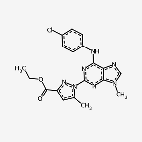 CCOC(=O)c1cc(C)n(-c2nc(Nc3ccc(Cl)cc3)c3ncn(C)c3n2)n1